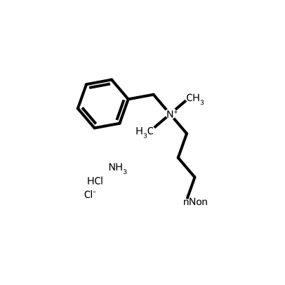 CCCCCCCCCCCC[N+](C)(C)Cc1ccccc1.Cl.N.[Cl-]